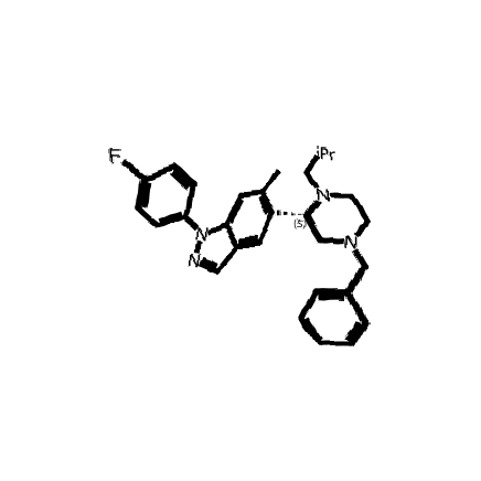 Cc1cc2c(cnn2-c2ccc(F)cc2)cc1[C@H]1CN(Cc2ccccc2)CCN1CC(C)C